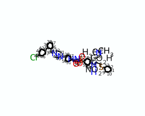 CN(C)CC[C@H](CSc1ccccc1)Nc1c(C(=O)O)cc(S(=O)(=O)NC(=O)c2ccc(N3CCN(Cc4ccccc4-c4ccc(Cl)cc4)CC3)cc2)cc1[N+](=O)[O-]